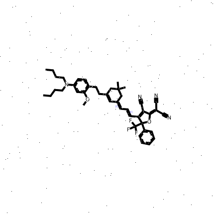 CCCCN(CCCC)c1ccc(CCC2=C/C(=C/C=C/C3=C(C#N)C(=C(C#N)C#N)OC3(c3ccccc3)C(F)(F)F)CC(C)(C)C2)c(OC)c1